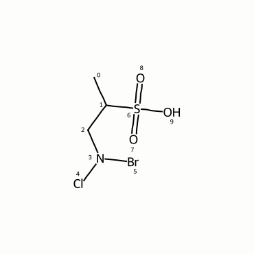 CC(CN(Cl)Br)S(=O)(=O)O